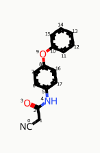 N#CCC(=O)Nc1ccc(Oc2ccccc2)cc1